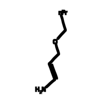 CCCCOCC=CN